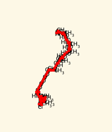 CC(=N)N1C(=N)[C@H](CC(=O)Nc2ccc(OCCOCCOCCOCCOCCOCCC(=O)N(C)CCCN(C)CCCNC(=O)CCNC(=O)c3nc(NC(=O)CCNC(=O)c4cc(NC(=O)c5nc(NC(=O)CCNC(=O)c6cc(NC(=O)c7nccn7C)cn6C)cn5C)cn4C)cn3C)cc2)N=C(c2ccc(Cl)cc2)c2c1sc(C)c2C